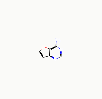 Nc1ncnc2ccoc12